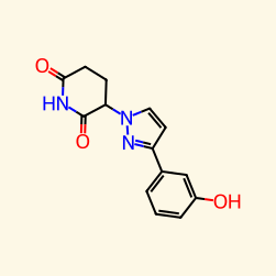 O=C1CCC(n2ccc(-c3cccc(O)c3)n2)C(=O)N1